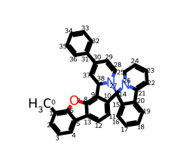 Cc1cccc2c1oc1c3c(ccc12)[C@]1(c2ccccc2C2=CC=CCN21)N1C=CC(c2ccccc2)=CC31